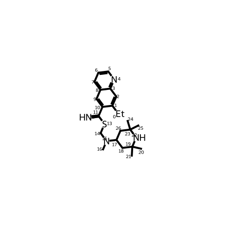 CCc1cc2ncccc2cc1C(=N)SCN(C)C1CC(C)(C)NC(C)(C)C1